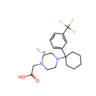 C[C@@H]1CN(C2(c3cccc(C(F)(F)F)c3)CCCCC2)CCN1CC(=O)O